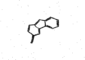 C=c1ccc2c(c1)-c1ccccc1C=2